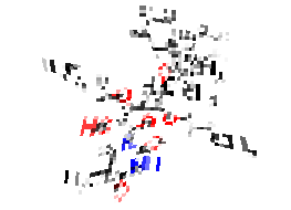 CCCCOC[C@@]1(CCO[Si](c2ccccc2)(c2ccccc2)C(C)(C)C)O[C@@H](n2cc(C)c(=O)[nH]c2=O)[C@H](O)C1OCCCC